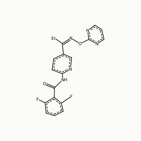 CC/C(=N/Oc1ncccn1)c1ccc(NC(=O)c2c(F)cccc2F)nc1